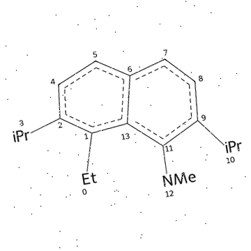 CCc1c(C(C)C)ccc2ccc(C(C)C)c(NC)c12